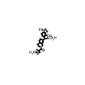 CCn1nnc2c(C)c(C(CC(=O)O)c3ccc4c(c3)CN(C(=O)c3csc(C)n3)CC4)ccc21